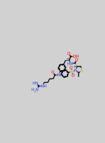 CC1SC[C@@H](C(=O)N[C@@H](Cc2ccc(NC(=O)CCCCNC(=N)N)cc2)C(=O)O)N1S(=O)(=O)c1ccccc1